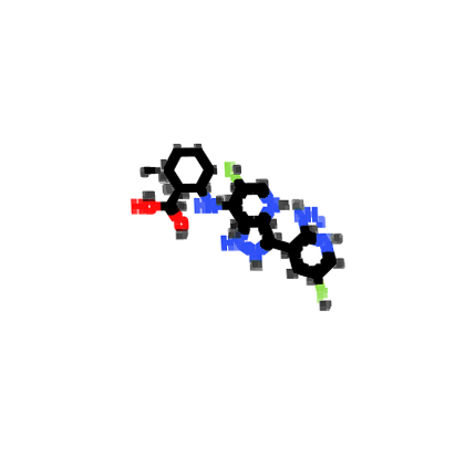 C[C@@H]1CCCC(Nc2c(F)cnc3c(-c4cc(F)cnc4N)n[nH]c23)[C@H]1C(=O)O